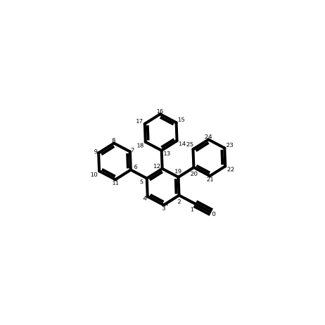 C#Cc1[c]cc(-c2ccccc2)c(-c2ccccc2)c1-c1ccccc1